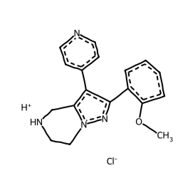 COc1ccccc1-c1nn2c(c1-c1ccncc1)CNCC2.[Cl-].[H+]